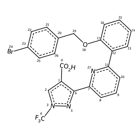 O=C(O)c1cn(C(F)(F)F)nc1-c1cccc(-c2ccccc2OCc2ccc(Br)cc2)n1